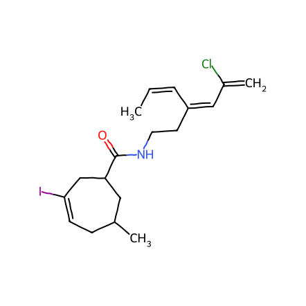 C=C(Cl)/C=C(\C=C/C)CCNC(=O)C1CC(I)=CCC(C)C1